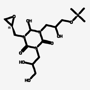 C[Si](C)(C)OCC(O)CN1C(=O)N(CC(O)CO)C(=O)N(C[C@H]2CO2)C1O